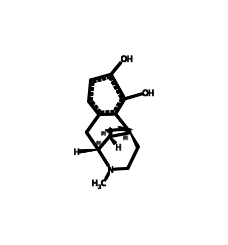 CN1CC[C@]23CCC=C[C@H]2[C@H]1Cc1ccc(O)c(O)c13